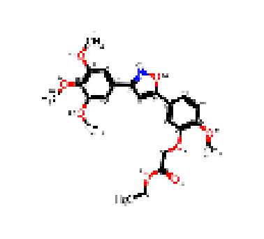 CCOC(=O)COc1cc(-c2cc(-c3cc(OC)c(OC)c(OC)c3)no2)ccc1OC